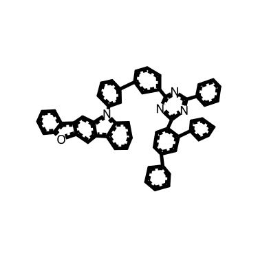 c1ccc(-c2ccc(-c3nc(-c4ccccc4)nc(-c4cccc(-c5cccc(-n6c7ccccc7c7cc8oc9ccccc9c8cc76)c5)c4)n3)c(-c3ccccc3)c2)cc1